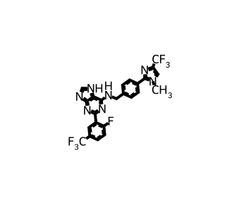 Cn1cc(C(F)(F)F)nc1-c1ccc(CNc2nc(-c3cc(C(F)(F)F)ccc3F)nc3nc[nH]c23)cc1